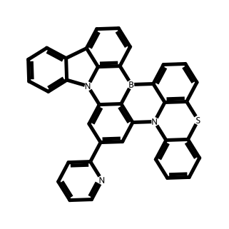 c1ccc(-c2cc3c4c(c2)-n2c5ccccc5c5cccc(c52)B4c2cccc4c2N3c2ccccc2S4)nc1